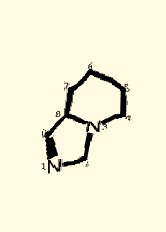 C1=NCN2CCCCC12